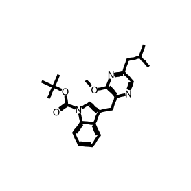 COc1nc(CC(C)C)cnc1Cc1cn(C(=O)OC(C)(C)C)c2ccccc12